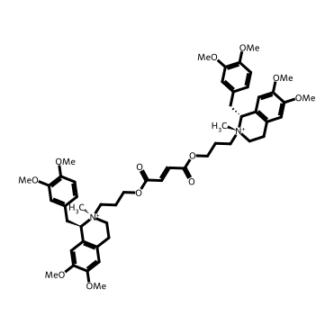 COc1ccc(C[C@@H]2c3cc(OC)c(OC)cc3CC[N@+]2(C)CCCOC(=O)/C=C/C(=O)OCCC[N@@+]2(C)CCc3cc(OC)c(OC)cc3[C@H]2Cc2ccc(OC)c(OC)c2)cc1OC